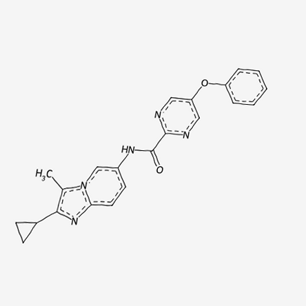 Cc1c(C2CC2)nc2ccc(NC(=O)c3ncc(Oc4ccccc4)cn3)cn12